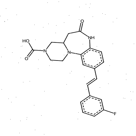 O=C1CC2CN(C(=O)O)CCN2c2cc(C=Cc3cccc(F)c3)ccc2N1